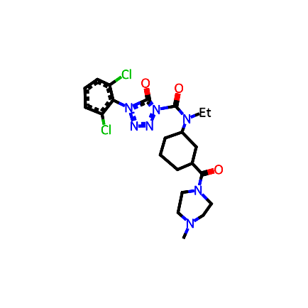 CCN(C(=O)n1nnn(-c2c(Cl)cccc2Cl)c1=O)C1CCCC(C(=O)N2CCN(C)CC2)C1